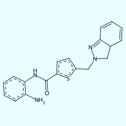 Nc1ccccc1NC(=O)c1ccc(CN2CC3C=CC=CC3=N2)s1